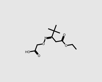 CCOC(=O)C/C(=N\OCC(=O)O)C(C)(C)C